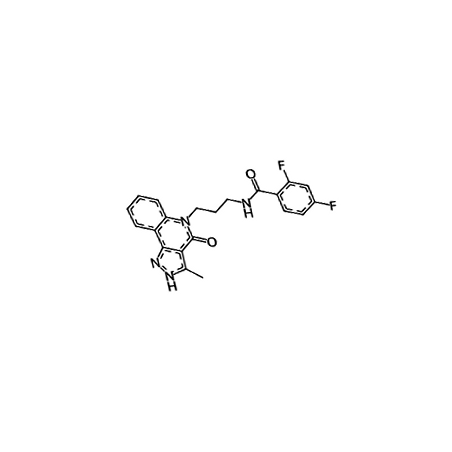 Cc1[nH]nc2c1c(=O)n(CCCNC(=O)c1ccc(F)cc1F)c1ccccc21